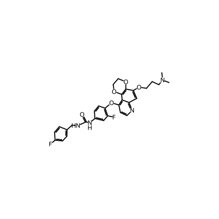 CN(C)CCCOc1cc2nccc(Oc3ccc(NC(=O)NCc4ccc(F)cc4)cc3F)c2c2c1OCCO2